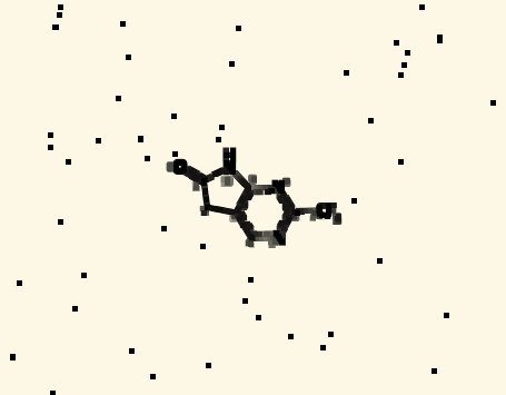 O=C1Cc2cnc(C(F)(F)F)nc2N1